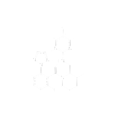 CC1CCCN(C(=O)c2c(F)cccc2-n2nccn2)C1CNc1ncc(Cl)cn1